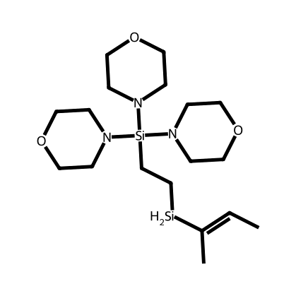 CC=C(C)[SiH2]CC[Si](N1CCOCC1)(N1CCOCC1)N1CCOCC1